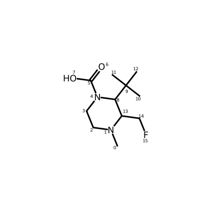 CN1CCN(C(=O)O)C(C(C)(C)C)C1CF